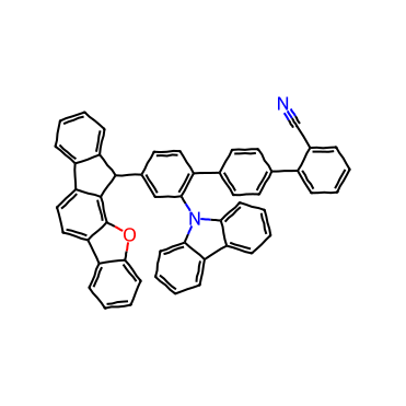 N#Cc1ccccc1-c1ccc(-c2ccc(C3c4ccccc4-c4ccc5c(oc6ccccc65)c43)cc2-n2c3ccccc3c3ccccc32)cc1